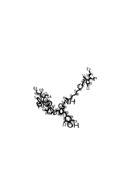 C=C(CCCCCOCCN1C(=C)C(C(C=CC)CC)CC1C)NCc1cc2c(CC3CC(C)C(O)C(C)C3)ccc(COC(=C)N(C)C(C(=O)NCC(=O)N(C)C(C(C)CC)C(CC)OC)C(C)C)c2o1